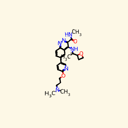 CNC(=O)c1nnc2ccc(-c3ccc(OCCCN(C)C)nc3)cc2c1N[C@H](C)C1CCO1